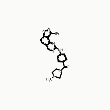 CC(C)c1noc2ccc3cnc(Nc4ccc(C(=O)N5CCN(C)CC5)cc4)nc3c12